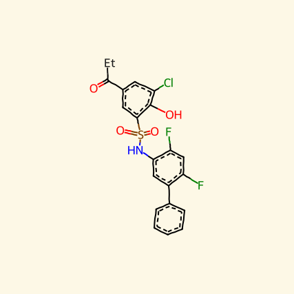 CCC(=O)c1cc(Cl)c(O)c(S(=O)(=O)Nc2cc(-c3ccccc3)c(F)cc2F)c1